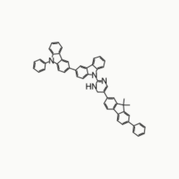 CC1(C)c2cc(C3=CN=C(n4c5ccccc5c5cc(-c6ccc7c(c6)c6ccccc6n7-c6ccccc6)ccc54)NC3)ccc2-c2ccc(-c3ccccc3)cc21